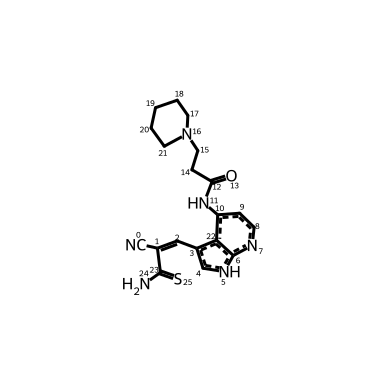 N#C/C(=C/c1c[nH]c2nccc(NC(=O)CCN3CCCCC3)c12)C(N)=S